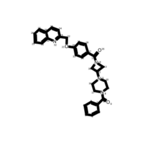 O=C(c1ccccc1)N1CCN(C2CN(C(=O)c3ccc(OCc4ccc5ccccc5n4)cc3)C2)CC1